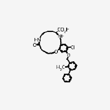 Cc1c(COc2cc3c(cc2Cl)CN[C@H](C(=O)O)CCCCNC(=O)CCCCO3)cccc1-c1ccccc1